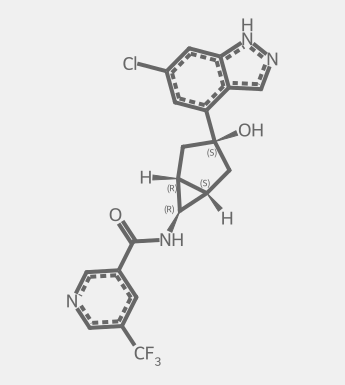 O=C(N[C@H]1[C@@H]2C[C@](O)(c3cc(Cl)cc4[nH]ncc34)C[C@@H]21)c1cncc(C(F)(F)F)c1